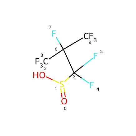 O=S(O)C(F)(F)C(F)(C(F)(F)F)C(F)(F)F